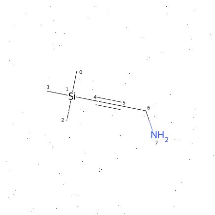 C[Si](C)(C)C#CCN